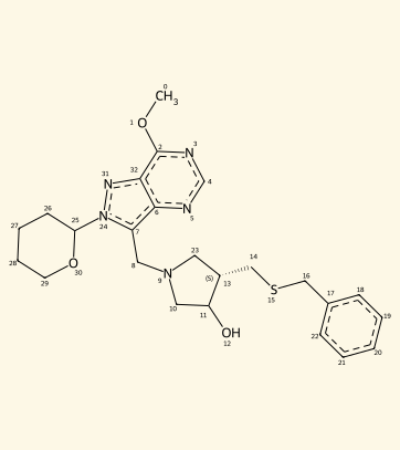 COc1ncnc2c(CN3CC(O)[C@@H](CSCc4ccccc4)C3)n(C3CCCCO3)nc12